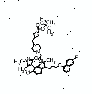 Cc1nn(C)c(C)c1-c1c(Cl)ccc2c(CCCOc3cccc4cc(F)ccc34)c(C)n(CCN3CCN(CC4CN(C(=O)OC(C)(C)C)C4)CC3)c12